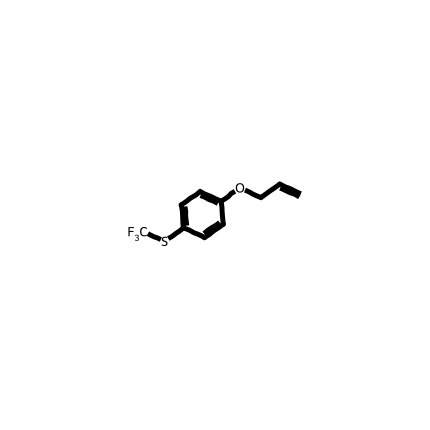 C=CCOc1ccc(SC(F)(F)F)cc1